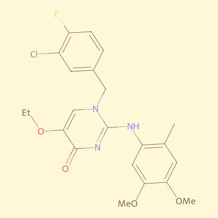 CCOc1cn(Cc2ccc(F)c(Cl)c2)c(Nc2cc(OC)c(OC)cc2C)nc1=O